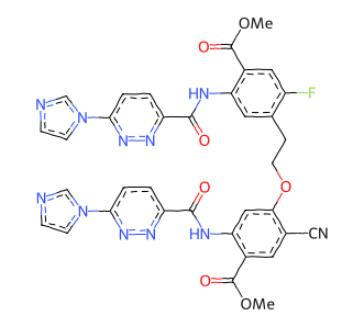 COC(=O)c1cc(F)c(CCOc2cc(NC(=O)c3ccc(-n4ccnc4)nn3)c(C(=O)OC)cc2C#N)cc1NC(=O)c1ccc(-n2ccnc2)nn1